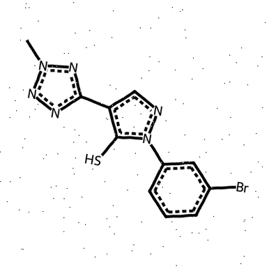 Cn1nnc(-c2cnn(-c3cccc(Br)c3)c2S)n1